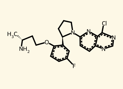 C[C@@H](N)CCOc1ccc(F)cc1[C@H]1CCCN1c1ccc2ncnc(Cl)c2n1